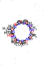 C/C=C/C[C@@H](C)[C@@H](O)[C@H]1C(=O)N[C@@H](CC)C(=O)N(C)C(CC(C)C(=O)OCC)C(=O)N(C)[C@@H](CC(C)C)C(=O)N[C@@H](C(C)C)C(=O)N(C)[C@@H](CC(C)C)C(=O)N[C@@H](C)C(=O)N[C@H](C)C(=O)N(C)[C@@H](CC(C)C)C(=O)N(C)[C@@H](CC(C)C)C(=O)N(C)[C@@H](C(C)C)C(=O)N1C